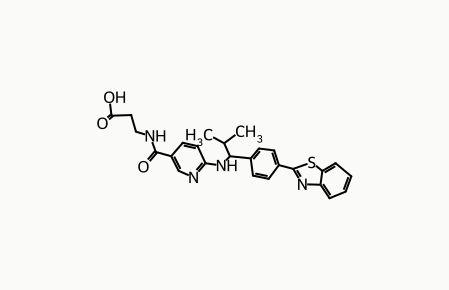 CC(C)C(Nc1ccc(C(=O)NCCC(=O)O)cn1)c1ccc(-c2nc3ccccc3s2)cc1